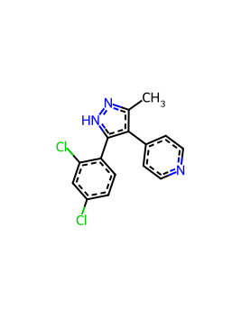 Cc1n[nH]c(-c2ccc(Cl)cc2Cl)c1-c1ccncc1